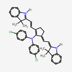 CCN1/C(=C/C=C2\CCC(/C=C/C3=[N+](CC)c4ccccc4C3(C)C)=C2N(c2ccc(Cl)cc2)c2ccc(Cl)cc2)C(C)(C)c2ccccc21